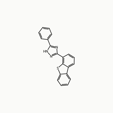 c1ccc(-c2nc(-c3cccc4c3sc3ccccc34)n[nH]2)cc1